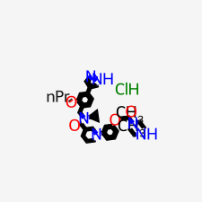 CCCOc1cc(-c2cn[nH]c2)ccc1CN(C(=O)C1CCCN(c2cccc(OC(C)(C)C(=O)N3CCNCC3)c2)C1)C1CC1.Cl